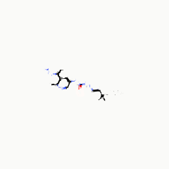 C=NC(=C)c1cc(NC(=O)NCCC(C)(C)OC)cnc1C